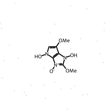 COc1cn(O)c2c1n(O)c(OC)[n+]2[O-]